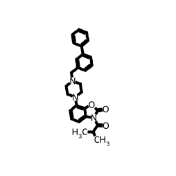 CC(C)C(=O)n1c(=O)oc2c(N3CCN(Cc4cccc(-c5ccccc5)c4)CC3)cccc21